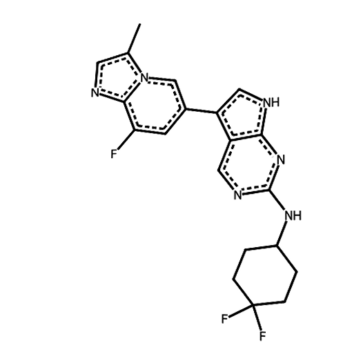 Cc1cnc2c(F)cc(-c3c[nH]c4nc(NC5CCC(F)(F)CC5)ncc34)cn12